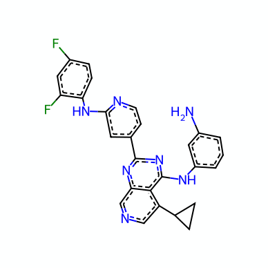 Nc1cccc(Nc2nc(-c3ccnc(Nc4ccc(F)cc4F)c3)nc3cncc(C4CC4)c23)c1